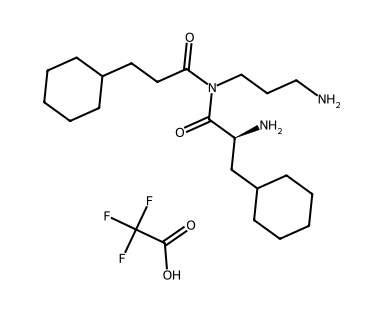 NCCCN(C(=O)CCC1CCCCC1)C(=O)[C@@H](N)CC1CCCCC1.O=C(O)C(F)(F)F